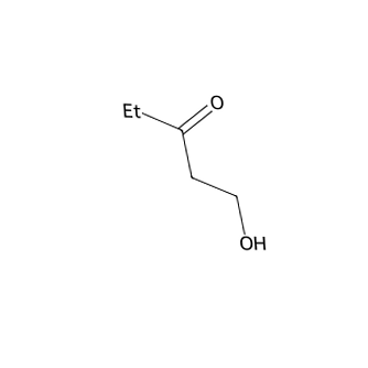 [CH2]CC(=O)CCO